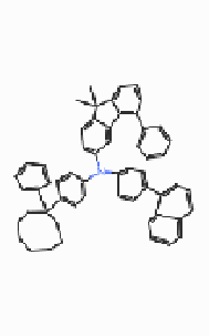 CC1(C)c2ccc(N(c3ccc(-c4cccc5ccccc45)cc3)c3ccc(C4(c5ccccc5)CCCCCCC4)cc3)cc2-c2c(-c3ccccc3)cccc21